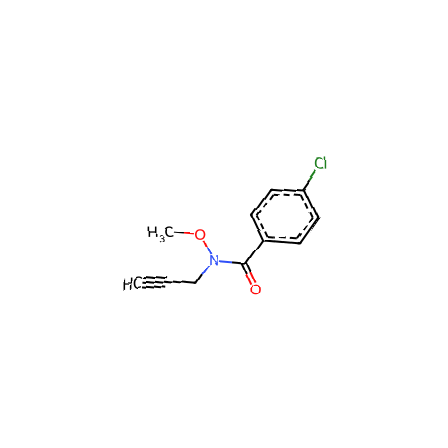 C#CCN(OC)C(=O)c1ccc(Cl)cc1